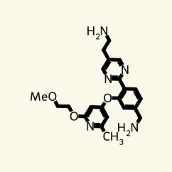 COCCOc1cc(Oc2cc(CN)ccc2-c2ncc(CCN)cn2)cc(C)n1